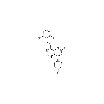 [O-][S+]1CCN(c2nc(Cl)nc3c(SCc4c(Cl)cccc4Cl)ncnc23)CC1